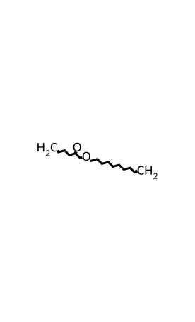 C=CCCCCCCCCOCC(=O)CCC=C